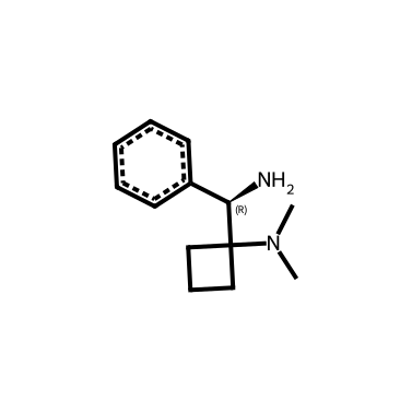 CN(C)C1([C@H](N)c2ccccc2)CCC1